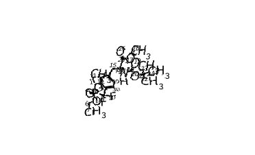 CCOP(=O)(OCC)C(F)(F)c1ccc(C[C@H](NC(=O)OC(C)(C)C)C(=O)OC)cc1